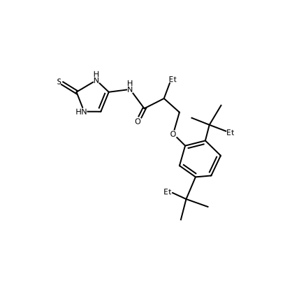 CCC(COc1cc(C(C)(C)CC)ccc1C(C)(C)CC)C(=O)Nc1c[nH]c(=S)[nH]1